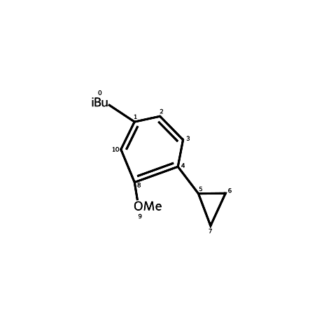 CCC(C)c1ccc(C2CC2)c(OC)c1